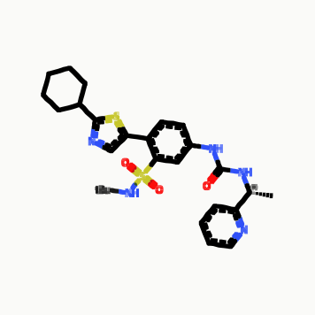 C[C@@H](NC(=O)Nc1ccc(-c2cnc(C3CCCCC3)s2)c(S(=O)(=O)NC(C)(C)C)c1)c1ccccn1